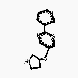 c1cncc(-c2ncc(OC3CCNC3)cn2)c1